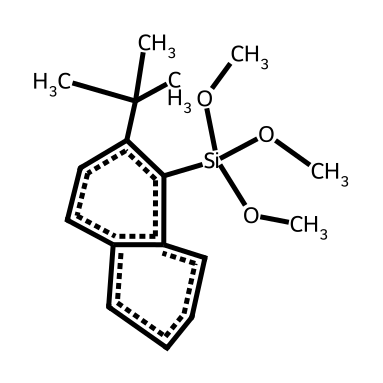 CO[Si](OC)(OC)c1c(C(C)(C)C)ccc2ccccc12